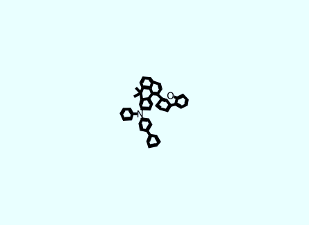 CC1(C)c2cc(N(c3ccccc3)c3ccc(-c4ccccc4)cc3)ccc2-c2c(-c3cccc4c3oc3ccccc34)ccc3cccc1c23